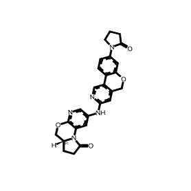 O=C1CCCN1c1ccc2c(c1)OCc1cc(Nc3cnc4c(c3)N3C(=O)CC[C@@H]3CO4)ncc1-2